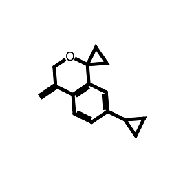 C=C1COC2(CC2)c2cc(C3CC3)ccc21